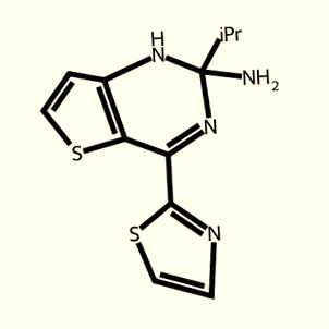 CC(C)C1(N)N=C(c2nccs2)c2sccc2N1